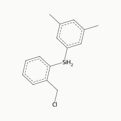 Cc1cc(C)cc([SiH2]c2ccccc2CCl)c1